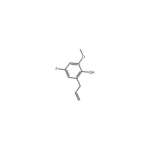 C=CCc1cc(F)cc(OC)c1O